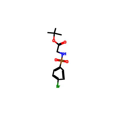 CC(C)(C)OC(=O)CNS(=O)(=O)c1ccc(Br)cc1